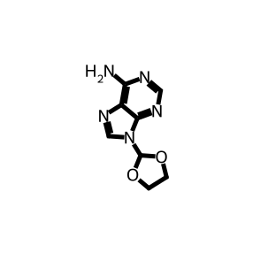 Nc1ncnc2c1ncn2C1OCCO1